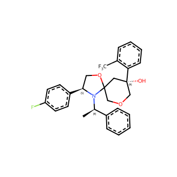 C[C@H](c1ccccc1)N1[C@@H](c2ccc(F)cc2)COC12COC[C@](O)(c1ccccc1C(F)(F)F)C2